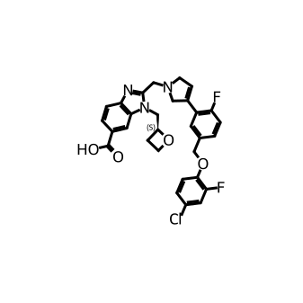 O=C(O)c1ccc2nc(CN3CC=C(c4cc(COc5ccc(Cl)cc5F)ccc4F)C3)n(C[C@@H]3CCO3)c2c1